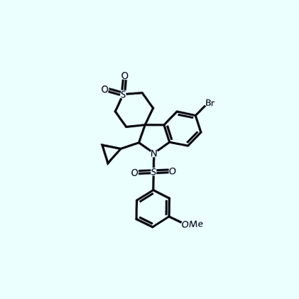 COc1cccc(S(=O)(=O)N2c3ccc(Br)cc3C3(CCS(=O)(=O)CC3)C2C2CC2)c1